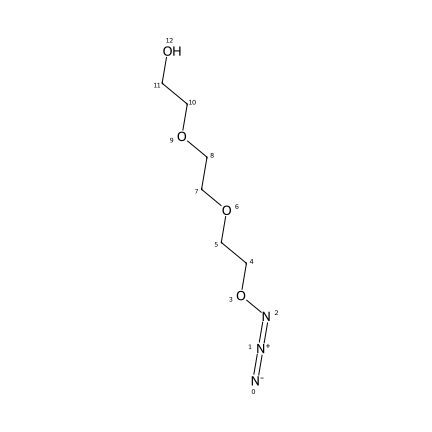 [N-]=[N+]=NOCCOCCOCCO